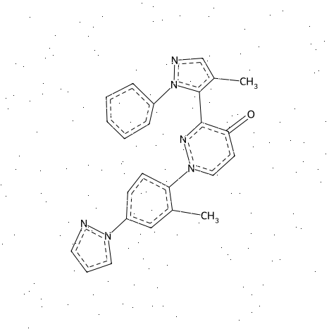 Cc1cc(-n2cccn2)ccc1-n1ccc(=O)c(-c2c(C)cnn2-c2ccccc2)n1